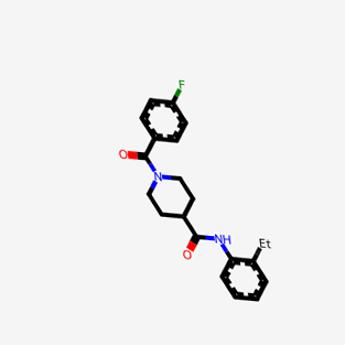 CCc1ccccc1NC(=O)C1CCN(C(=O)c2ccc(F)cc2)CC1